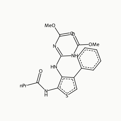 CCCC(=O)Nc1scc(-c2ccccc2)c1NC(=NC(=O)OC)NC(=O)OC